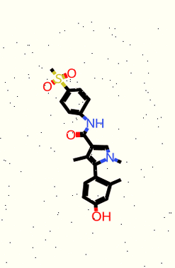 Cc1cc(O)ccc1-c1c(C)c(C(=O)Nc2ccc(S(C)(=O)=O)cc2)cn1C